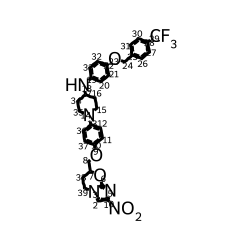 O=[N+]([O-])c1cn2c(n1)OC(COc1ccc(N3CCC(Nc4ccc(OCc5ccc(C(F)(F)F)cc5)cc4)CC3)cc1)CC2